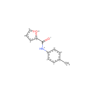 Cc1ccc(NC(=O)c2ccco2)cc1